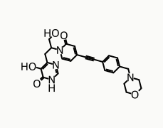 O=c1[nH]cnc(CC(CO)n2ccc(C#Cc3ccc(CN4CCOCC4)cc3)cc2=O)c1O